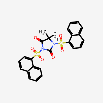 CC1(C)C(=O)N(S(=O)(=O)c2cccc3ccccc23)C(=O)N1S(=O)(=O)c1cccc2ccccc12